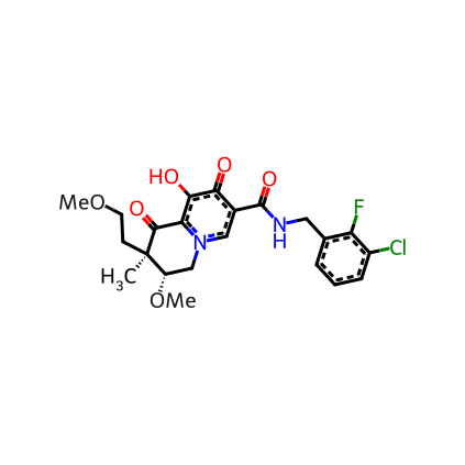 COCC[C@@]1(C)C(=O)c2c(O)c(=O)c(C(=O)NCc3cccc(Cl)c3F)cn2C[C@@H]1OC